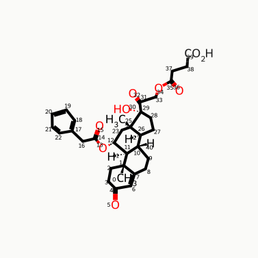 C[C@]12CCC(=O)C=C1CC[C@@H]1[C@@H]2[C@H](OC(=O)Cc2ccccc2)C[C@@]2(C)[C@H]1CC[C@]2(O)C(=O)COC(=O)CCC(=O)O